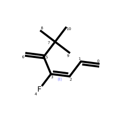 C=C/C=C(/F)C(=C)C(C)(C)C